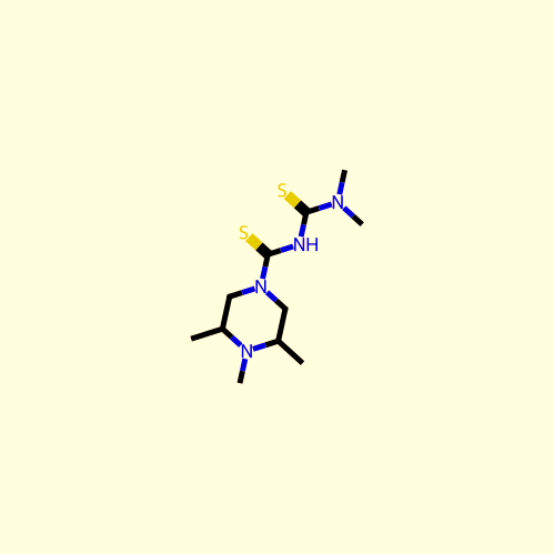 CC1CN(C(=S)NC(=S)N(C)C)CC(C)N1C